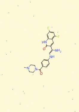 CN1CCN(C(=O)c2ccc(N/C=C(\N)c3cc4c(F)cc(F)cc4[nH]c3=O)cc2)CC1